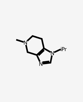 CC(C)n1cnc2c1CCN(C)C2